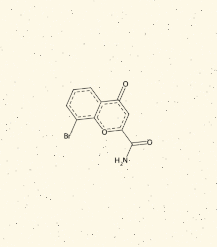 NC(=O)c1cc(=O)c2cccc(Br)c2o1